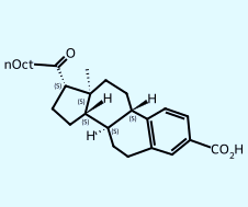 CCCCCCCCC(=O)[C@H]1CC[C@H]2[C@@H]3CCc4cc(C(=O)O)ccc4[C@H]3CC[C@]12C